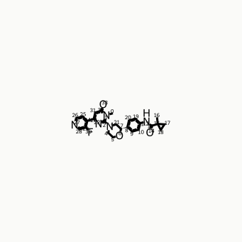 Cn1c(N2CCO[C@@H](c3ccc(NC(=O)C4(C)CC4)cc3)C2)nc(-c2ccncc2F)cc1=O